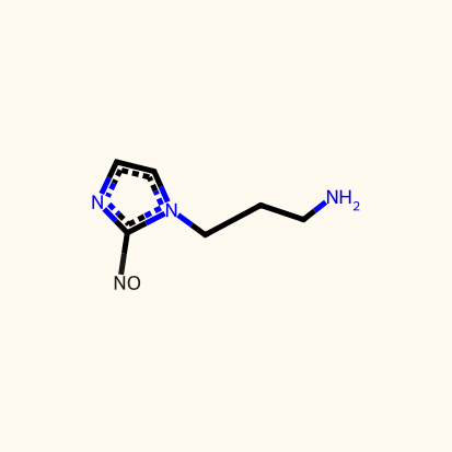 NCCCn1ccnc1N=O